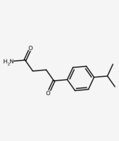 CC(C)c1ccc(C(=O)CCC(N)=O)cc1